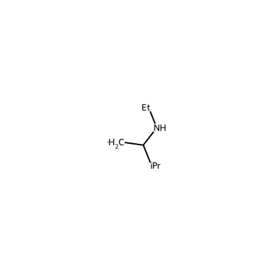 [CH2]C(NCC)C(C)C